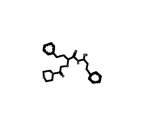 N#CC(CCc1ccccc1)NC(=O)C(CCc1ccccc1)OCC(=O)N1CCOCC1